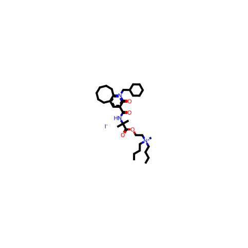 CCCC[N+](C)(CCCC)CCOC(=O)C(C)(C)NC(=O)c1cc2c(n(CC3CCCCC3)c1=O)CCCCCC2.[I-]